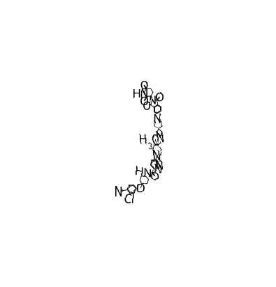 CC1(CN2CC3(CCN(c4ccc5c(c4)C(=O)N(C4CCC(=O)NC4=O)C5=O)CC3)C2)CCN(c2ccc(C(=O)N[C@H]3CC[C@H](Oc4ccc(C#N)c(Cl)c4)CC3)nn2)CC1